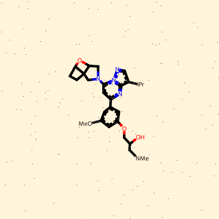 CNCC(O)COc1cc(OC)cc(-c2cc(N3CC4OC5CCC54C3)n3ncc(C(C)C)c3n2)c1